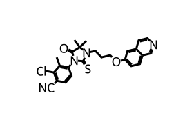 Cc1c(N2C(=O)C(C)(C)N(CCCOc3ccc4cnccc4c3)C2=S)ccc(C#N)c1Cl